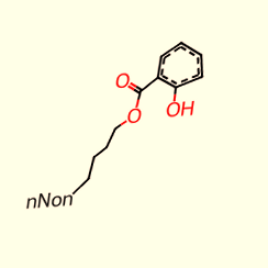 CCCCCCCCCCCCCOC(=O)c1ccccc1O